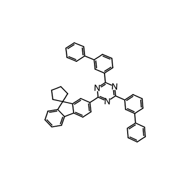 c1ccc(-c2cccc(-c3nc(-c4cccc(-c5ccccc5)c4)nc(-c4ccc5c(c4)C4(CCCC4)c4ccccc4-5)n3)c2)cc1